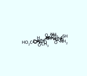 C[C@@H](NC(=O)CNC(=O)[C@H](CN)NC(=O)CNC(=O)[C@H](CN)NC(=O)CS)C(=O)Nc1ccc(C(=O)O)cc1